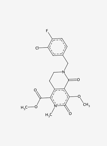 COC(=O)c1c2c(c(OC)c(=O)n1C)C(=O)N(Cc1ccc(F)c(Cl)c1)CC2